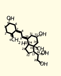 C=C1CC[C@H](O)C/C1=C/C=C1\C[C@@H](O)C[C@]2(C)[C@@H]([C@H](O)CO)CC[C@@H]12